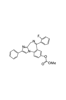 COC(=O)Oc1ccc2c(c1)C(c1ccccc1F)=NCc1nc(-c3ccccc3)cn1-2